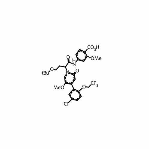 COc1cc(NC(=O)C(CCOC(C)(C)C)n2cc(OC)c(-c3cc(Cl)ccc3OCC(F)(F)F)cc2=O)ccc1C(=O)O